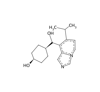 CC(C)c1ccn2cncc2c1C(O)[C@H]1CC[C@@H](O)CC1